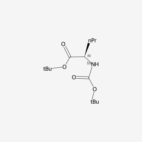 CC[13CH2][C@@H]([15NH]C(=O)OC(C)(C)C)C(=O)OC(C)(C)C